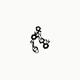 CN(C)c1ccccc1C1CCN(c2nc(C3(C)CCCC3)nc3ccc(N(C)CCN4CCOCC4)cc23)CC1